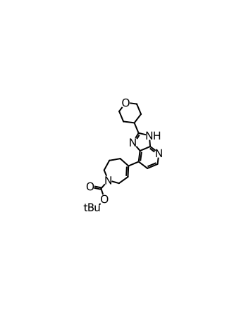 CC(C)(C)OC(=O)N1CC=C(c2ccnc3[nH]c(C4CCOCC4)nc23)CCC1